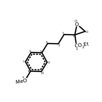 CCOC(=O)C1(CCCc2ccc(OC)cc2)CO1